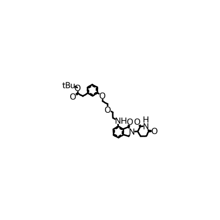 CC(C)(C)OC(=O)Cc1cccc(OCCOCCNc2cccc3c2C(=O)N(C2CCC(=O)NC2=O)C3)c1